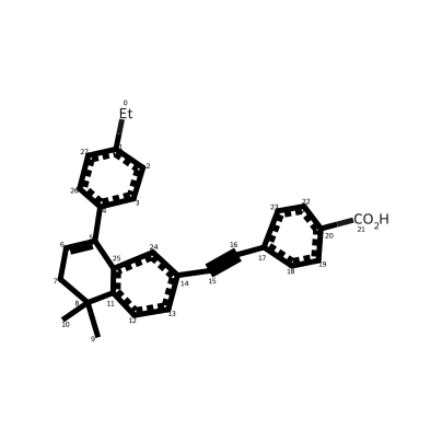 CCc1ccc(C2=CCC(C)(C)c3ccc(C#Cc4ccc(C(=O)O)cc4)cc32)cc1